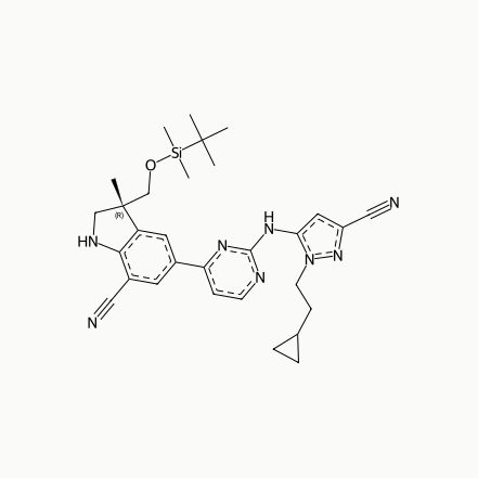 CC(C)(C)[Si](C)(C)OC[C@@]1(C)CNc2c(C#N)cc(-c3ccnc(Nc4cc(C#N)nn4CCC4CC4)n3)cc21